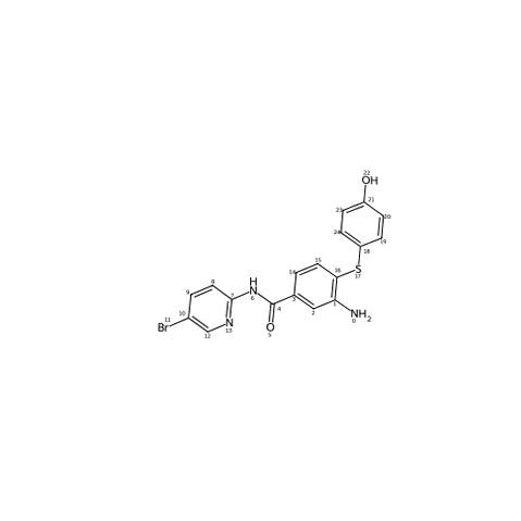 Nc1cc(C(=O)Nc2ccc(Br)cn2)ccc1Sc1ccc(O)cc1